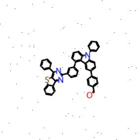 O=Cc1ccc(-c2ccc3c(c2)c2c(-c4cccc(-c5nc(-c6ccccc6)c6sc7ccccc7c6n5)c4)cccc2n3-c2ccccc2)cc1